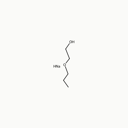 CCCOCCO.[NaH]